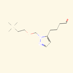 C[Si](C)(C)CCOCn1nccc1CCCC=O